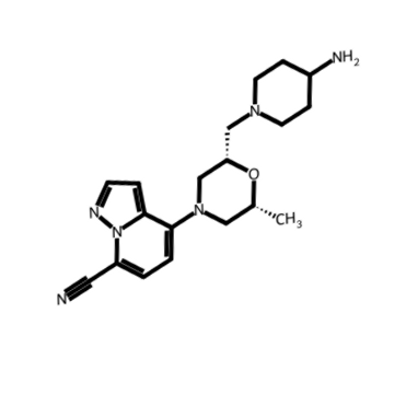 C[C@@H]1CN(c2ccc(C#N)n3nccc23)C[C@H](CN2CCC(N)CC2)O1